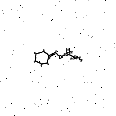 [SiH3][SiH2]OC=C1CCCCC1